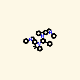 CC1(C)c2ccccc2N(c2cc(-c3ccccc3)cc(-n3c4ccccc4c4cc5ccn(-c6ccccc6)c5cc43)c2)c2cc3ccn(-c4ccccc4)c3cc21